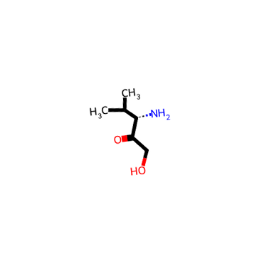 CC(C)[C@H](N)C(=O)CO